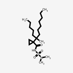 CCCCCCCC(C)(CCCCC)C1(C(=O)NS(=O)(=O)N(C)C)CC1